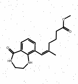 COC(=O)CCCC(C)=Cc1cccc2c1NCCNC2=O